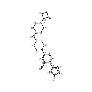 Cc1noc(-c2ccc(N3CCC(OC4CCN(C5CCC5)CC4)CC3)cc2F)n1